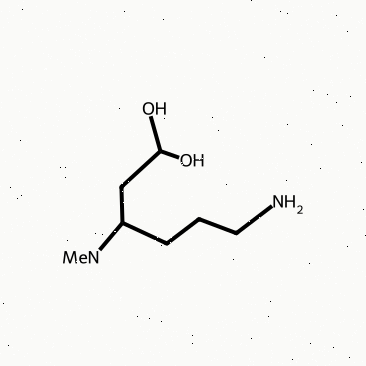 CNC(CCCN)CC(O)O